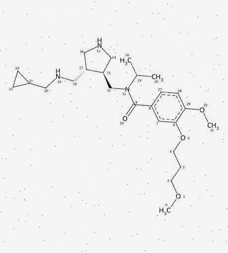 COCCCOc1cc(C(=O)N(C[C@@H]2CNC[C@H]2CNCC2CC2)C(C)C)ccc1OC